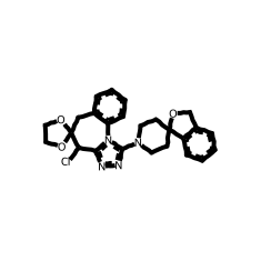 ClC1c2nnc(N3CCC4(CC3)OCc3ccccc34)n2-c2ccccc2CC12OCCO2